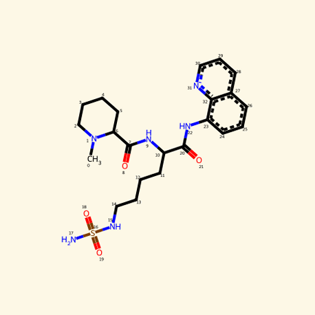 CN1CCCCC1C(=O)NC(CCCCNS(N)(=O)=O)C(=O)Nc1cccc2cccnc12